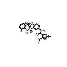 COc1ncc(NC(=O)c2cn(C)nc2C(F)F)cc1S(=O)(=O)Nc1c(C)cccc1C